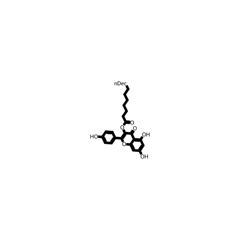 CCCCCCCCCCCCCCCCC(=O)Oc1c(-c2ccc(O)cc2)oc2cc(O)cc(O)c2c1=O